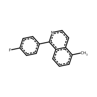 Cc1cccc2c(-c3ccc(F)cc3)nccc12